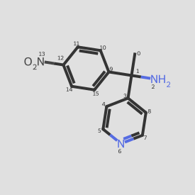 CC(N)(c1ccncc1)c1ccc([N+](=O)[O-])cc1